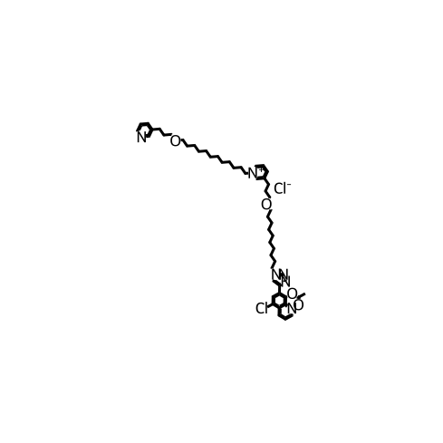 CC(=O)Oc1c(-c2cn(CCCCCCCCCCOCCCc3ccc[n+](CCCCCCCCCCCCOCCCc4cccnc4)c3)nn2)cc(Cl)c2cccnc12.[Cl-]